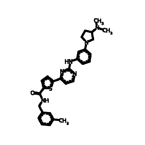 Cc1cccc(CNC(=O)c2ccc(-c3ccnc(Nc4cccc(N5CCC(N(C)C)C5)c4)n3)s2)c1